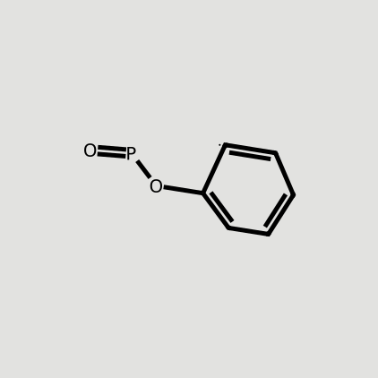 O=POc1[c]cccc1